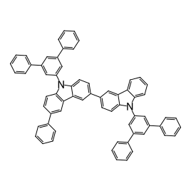 c1ccc(-c2cc(-c3ccccc3)cc(-n3c4ccccc4c4cc(-c5ccc6c(c5)c5cc(-c7ccccc7)ccc5n6-c5cc(-c6ccccc6)cc(-c6ccccc6)c5)ccc43)c2)cc1